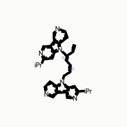 C=C/C(=C\C=C/Cn1c2ccncc2c2cnc(C(C)C)cc21)n1c2ccncc2c2cnc(C(C)C)cc21